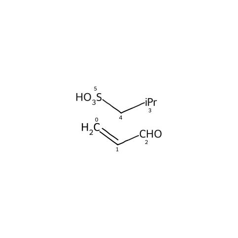 C=CC=O.CC(C)CS(=O)(=O)O